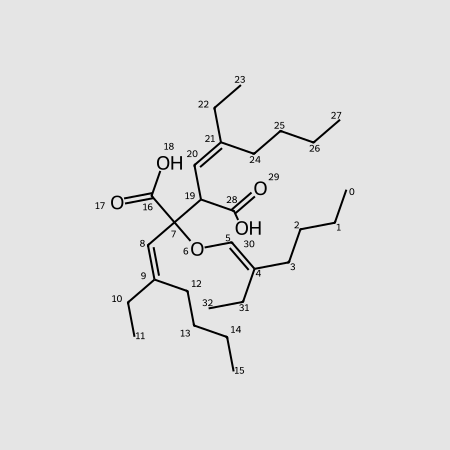 CCCCC(=COC(C=C(CC)CCCC)(C(=O)O)C(C=C(CC)CCCC)C(=O)O)CC